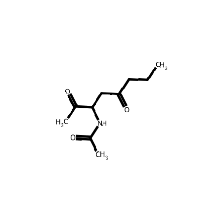 CCCC(=O)CC(NC(C)=O)C(C)=O